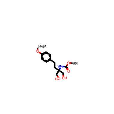 CCCCCCCOc1ccc(CCC(CO)(CO)NC(=O)OC(C)(C)C)cc1